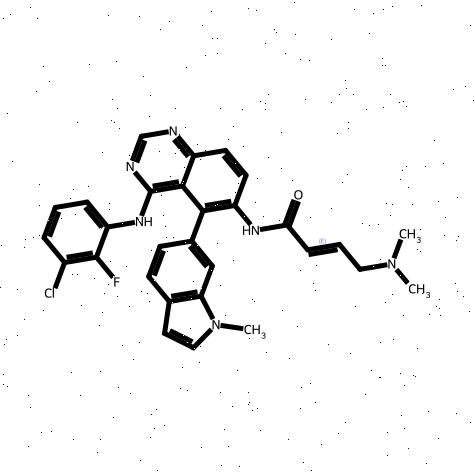 CN(C)C/C=C/C(=O)Nc1ccc2ncnc(Nc3cccc(Cl)c3F)c2c1-c1ccc2ccn(C)c2c1